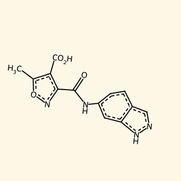 Cc1onc(C(=O)Nc2ccc3cn[nH]c3c2)c1C(=O)O